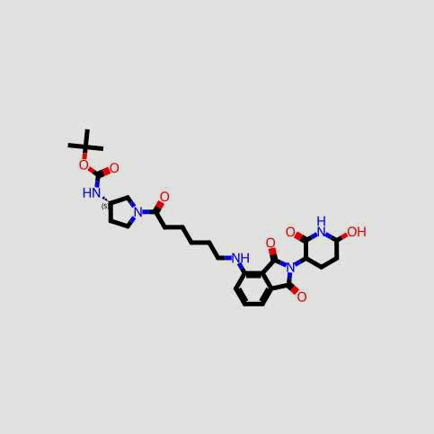 CC(C)(C)OC(=O)N[C@H]1CCN(C(=O)CCCCCNc2cccc3c2C(=O)N(C2CCC(O)NC2=O)C3=O)C1